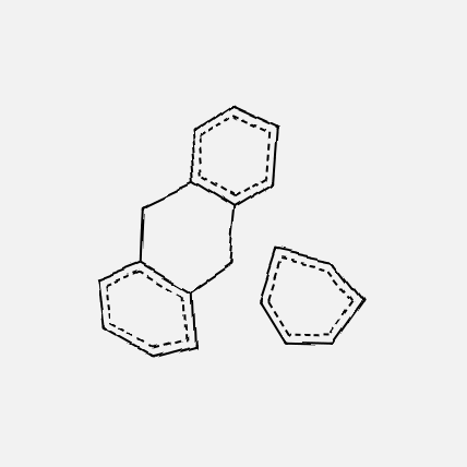 c1ccc2c(c1)Cc1ccccc1C2.c1ccccc1